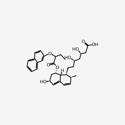 CCC(Oc1ccc2ccccc2c1)C(=O)O[C@H]1C[C@H](O)C=C2C=C[C@H](C)[C@H](CC[C@@H](O)C[C@@H](O)CC(=O)O)[C@H]21